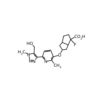 Cc1nc(-c2nnn(C)c2CO)ccc1OC1CC2CCC(F)(C(=O)O)C2C1